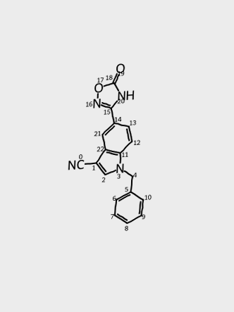 N#Cc1cn(Cc2ccccc2)c2ccc(-c3noc(=O)[nH]3)cc12